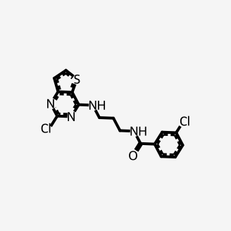 O=C(NCCCNc1nc(Cl)nc2ccsc12)c1cccc(Cl)c1